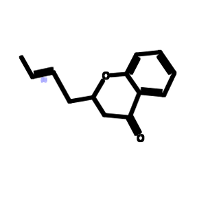 C/C=C/CC1CC(=O)c2ccccc2O1